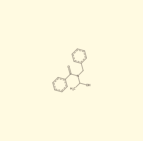 CC(O)N(Cc1ccccc1)C(=O)c1ccccc1